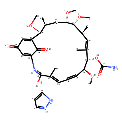 CO[C@H]1[C@@H](OC)C[C@H](C)[C@@H](OC)C2=CC(=O)C=C(N=C(O)/C(C)=C/C=C\[C@H](OC)[C@@H](OC(N)=O)/C(C)=C/[C@@H]1C)C2=O.c1cn[nH]c1